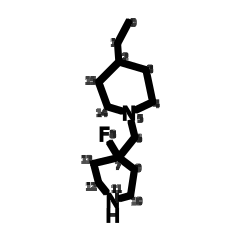 CCC1CCN(CC2(F)CCNCC2)CC1